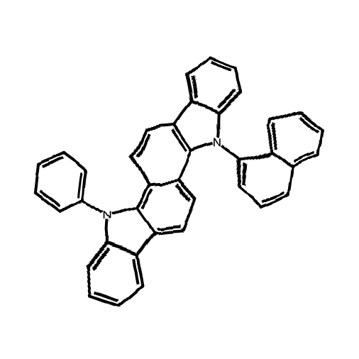 c1ccc(-n2c3ccccc3c3ccc4c(ccc5c6ccccc6n(-c6cccc7ccccc67)c54)c32)cc1